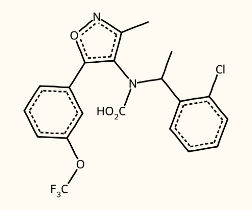 Cc1noc(-c2cccc(OC(F)(F)F)c2)c1N(C(=O)O)C(C)c1ccccc1Cl